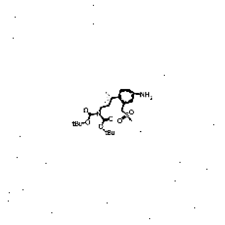 C[C@@H](CCN(C(=O)OC(C)(C)C)C(=O)OC(C)(C)C)c1ccc(N)cc1CS(C)(=O)=O